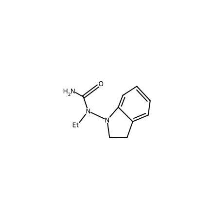 CCN(C(N)=O)N1CCc2ccccc21